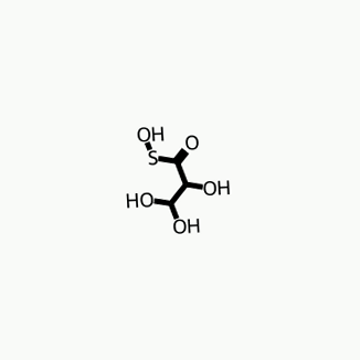 O=C(SO)C(O)C(O)O